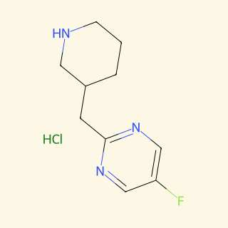 Cl.Fc1cnc(CC2CCCNC2)nc1